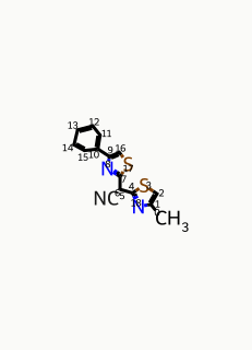 Cc1csc(C(C#N)c2nc(-c3ccccc3)cs2)n1